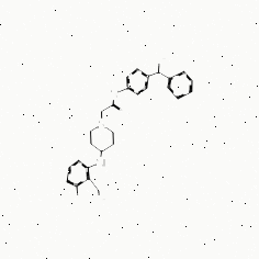 O=C(CN1CCC(Nc2cccc(O)c2CO)CC1)Nc1ccc(C(O)c2ccccc2)cc1